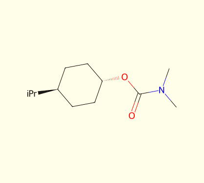 CC(C)[C@H]1CC[C@H](OC(=O)N(C)C)CC1